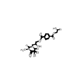 CCC(O)COC(=O)c1ccc(C(=O)OCC(O)CN2C(=O)N(C)C(=O)C(CC)(CC)C2=O)cc1